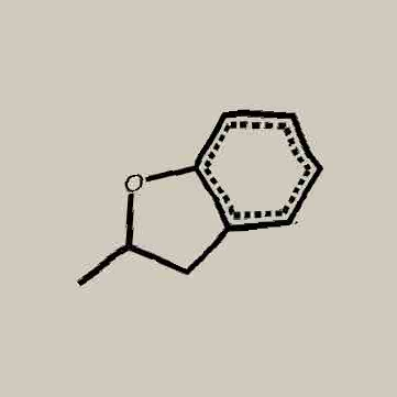 CC1Cc2[c]cccc2O1